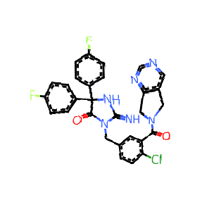 N=C1NC(c2ccc(F)cc2)(c2ccc(F)cc2)C(=O)N1Cc1ccc(Cl)c(C(=O)N2Cc3cncnc3C2)c1